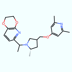 Cc1cc(OCC2C[C@H](C)N(C(C)c3ccc4c(n3)OCCO4)C2)cc(C)n1